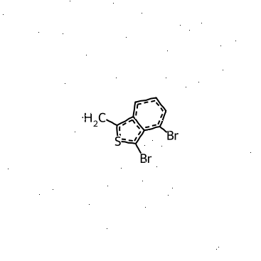 [CH2]c1sc(Br)c2c(Br)cccc12